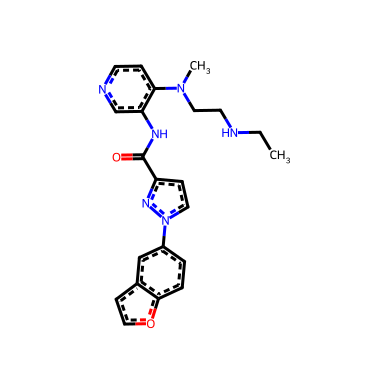 CCNCCN(C)c1ccncc1NC(=O)c1ccn(-c2ccc3occc3c2)n1